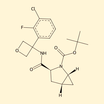 CC(C)(C)OC(=O)N1[C@@H]2C[C@@H]2C[C@H]1C(=O)NC1(c2cccc(Cl)c2F)COC1